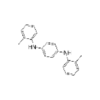 Cc1ccccc1Nc1ccc(Nc2ccccc2C)cc1